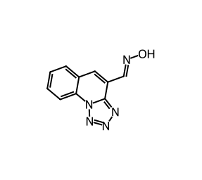 O/N=C/c1cc2ccccc2n2nnnc12